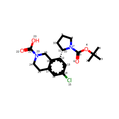 CC(C)(C)OC(=O)N1CCC[C@H]1c1cc(Cl)cc2c1CN(C(=O)O)CC2